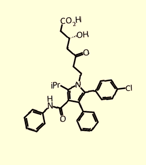 CC(C)c1c(C(=O)Nc2ccccc2)c(-c2ccccc2)c(-c2ccc(Cl)cc2)n1CCC(=O)C[C@@H](O)CC(=O)O